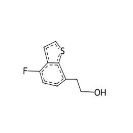 OCCc1ccc(F)c2ccsc12